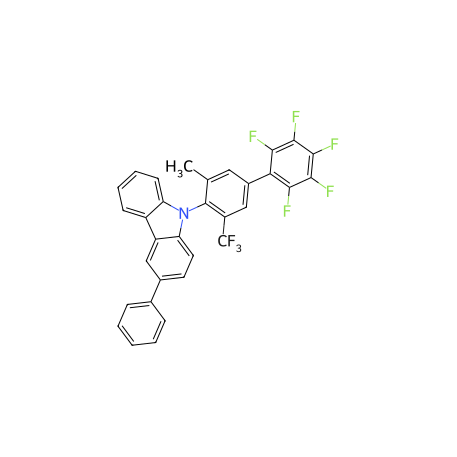 Cc1cc(-c2c(F)c(F)c(F)c(F)c2F)cc(C(F)(F)F)c1-n1c2ccccc2c2cc(-c3ccccc3)ccc21